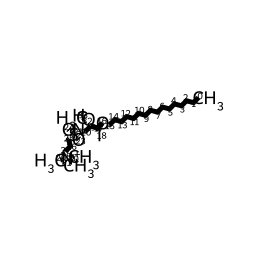 CCCCCCCCCCCCCCCCOC(I)C(CNS(=O)(=O)CCC[N+](C)(C)C)OC